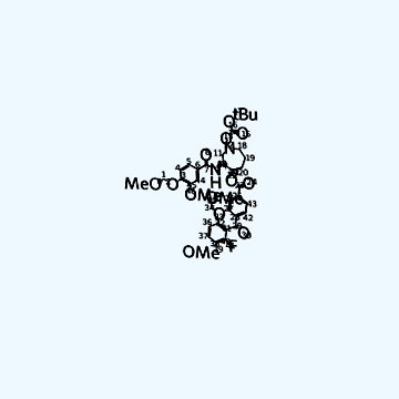 COCOc1ccc(C(=O)N[C@@H]2CN(OC(=O)OC(C)(C)C)CCC[C@H]2OC(=O)c2ccc(C(=O)c3c(OCOC)ccc(OC)c3F)cc2)cc1OC